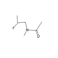 CC(=O)N(C)CC(C)F